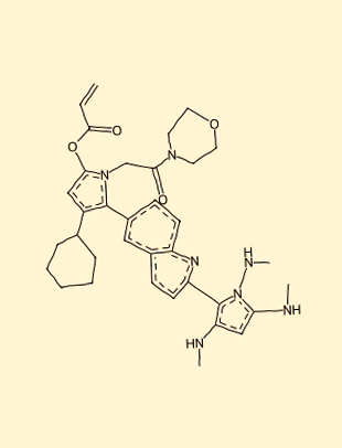 C=CC(=O)Oc1cc(C2CCCCC2)c(-c2ccc3nc(-c4c(NC)cc(NC)n4NC)ccc3c2)n1CC(=O)N1CCOCC1